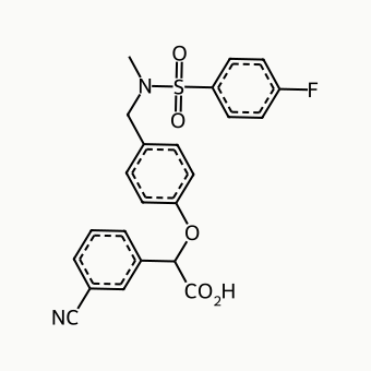 CN(Cc1ccc(OC(C(=O)O)c2cccc(C#N)c2)cc1)S(=O)(=O)c1ccc(F)cc1